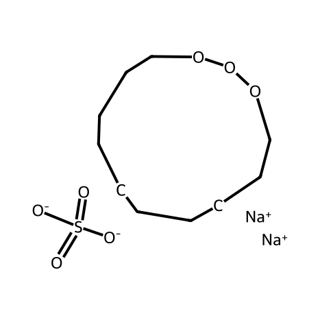 C1CCCCCOOOCCCC1.O=S(=O)([O-])[O-].[Na+].[Na+]